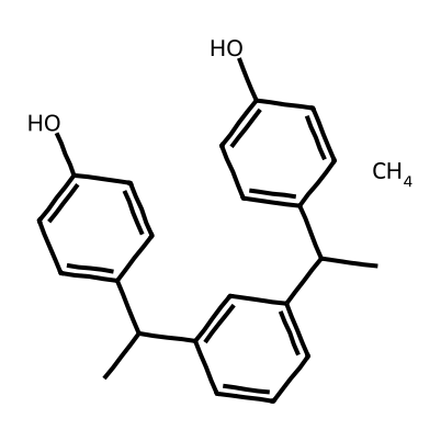 C.CC(c1ccc(O)cc1)c1cccc(C(C)c2ccc(O)cc2)c1